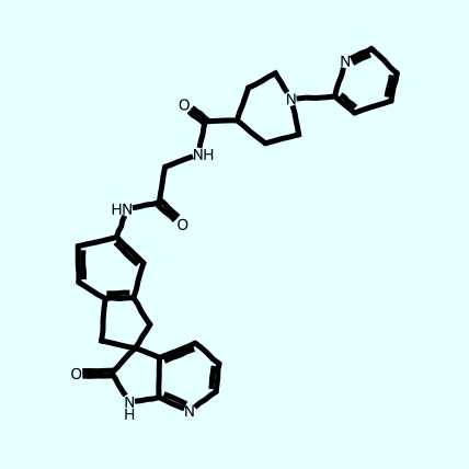 O=C(CNC(=O)C1CCN(c2ccccn2)CC1)Nc1ccc2c(c1)CC1(C2)C(=O)Nc2ncccc21